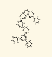 c1ccc(-c2ccc3ccc4ccc(-c5cccc(-c6cccc(-c7nc(-c8ccccc8)nc(-c8ccccc8)n7)c6)c5)nc4c3n2)cc1